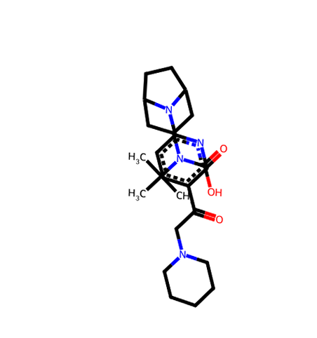 CC(C)(C)N(C(=O)O)C1CC2CCC(C1)N2c1ccc(C(=O)CN2CCCCC2)cn1